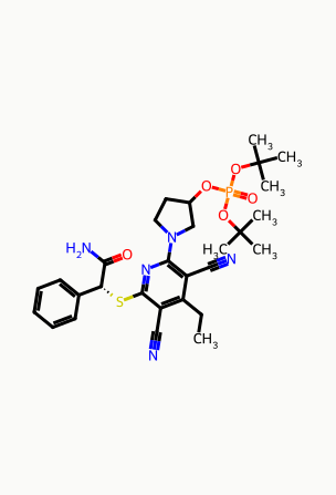 CCc1c(C#N)c(S[C@@H](C(N)=O)c2ccccc2)nc(N2CCC(OP(=O)(OC(C)(C)C)OC(C)(C)C)C2)c1C#N